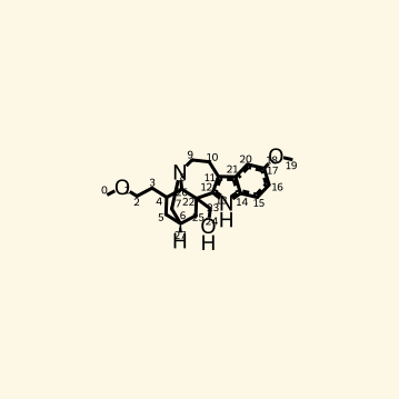 COCCC1C[C@@H]2CN3CCc4c([nH]c5ccc(OC)cc45)C(CO)(C2)C13